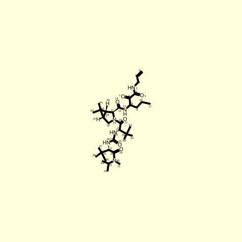 C=CCNC(=O)C(=O)C(CCC)NC(=O)[C@@H]1[C@@H]2[C@H](CN1C(=O)[C@@H](NC(=O)N[C@H](C(=O)N(C)C(C)C)C(C)(C)C)C(C)(C)C)C2(C)C